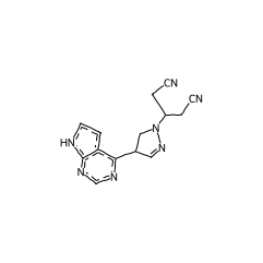 N#CCC(CC#N)N1CC(c2ncnc3[nH]ccc23)C=N1